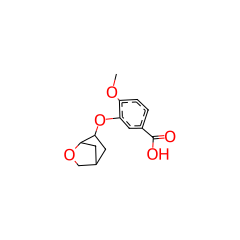 COc1ccc(C(=O)O)cc1OC1CC2COC1C2